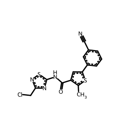 Cc1sc(-c2cccc(C#N)c2)cc1C(=O)Nc1nc(CCl)ns1